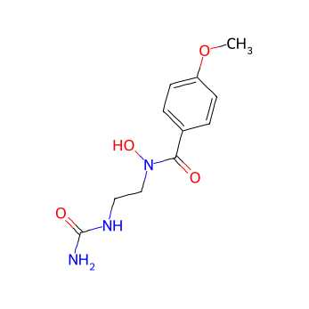 COc1ccc(C(=O)N(O)CCNC(N)=O)cc1